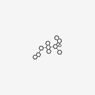 c1ccc(-c2cc(-c3c4ccccc4c(-c4cccc(-c5ccc6ccccc6c5)c4)c4ccccc34)cc3c2oc2ccc4ccccc4c23)cc1